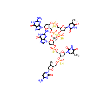 Cc1cn([C@H]2CC(OP(=O)(S)OC[C@H]3O[C@@H](n4ccc(N)nc4=O)CC3C(C)C)[C@@H](COP(=O)(S)OC3C[C@H](n4cnc5c(=O)[nH]c(N)nc54)O[C@@H]3COP(=O)(S)OC3C[C@H](n4cc(C)c(=O)[nH]c4=O)O[C@@H]3COP(=S)(S)OC3C[C@H](n4cnc5c(=O)[nH]c(N)nc54)O[C@@H]3COP(=O)(S)OC(C)C)O2)c(=O)[nH]c1=O